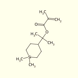 C=C(C)C(=O)OC(C)(C)C1CC[Si](C)(C)CC1